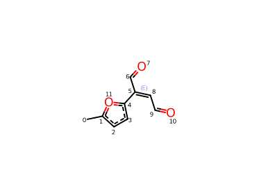 Cc1ccc(/C(C=O)=C\C=O)o1